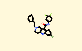 O=C(Nc1ccc(F)c(F)c1)c1c2c(nc3cc(Cl)ccc13)CCN(CCc1ccccc1)C2